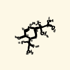 CC(C)(C(=O)O)c1cn(C(C)(F)F)c(=O)cn1